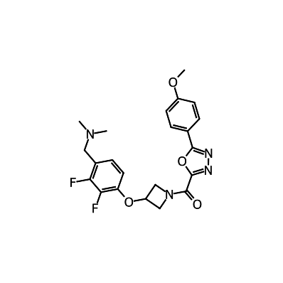 COc1ccc(-c2nnc(C(=O)N3CC(Oc4ccc(CN(C)C)c(F)c4F)C3)o2)cc1